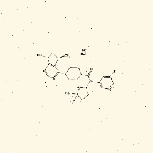 C[C@@H]1C[C@@H](O)c2ncnc(N3CCN(C(=O)C(c4cccc(F)c4)C4CCC(C)(C)N4)CC3)c21.Cl.Cl